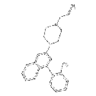 C=CCN1CCC(c2cc3ccccc3c(-c3ccccc3C)n2)CC1